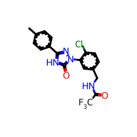 Cc1ccc(-c2nn(-c3cc(CNC(=O)C(F)(F)F)ccc3Cl)c(=O)[nH]2)cc1